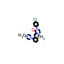 CN1CCN(c2ccccc2/C=C2/C(=O)N(c3ccc(Cl)cc3)CCN2C)CC1